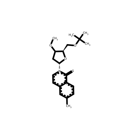 COC1C[C@@H](n2ccc3cc(C)ccc3c2=S)O[C@@H]1COC(C)(C)C